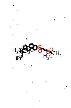 C=C(C)C(=O)OCCCC(=O)OC1CC[C@@]2(C)C(CCC3C2CC[C@@]2(C)C3CC[C@@H]2[C@H](C)CCCC(C)C)C1